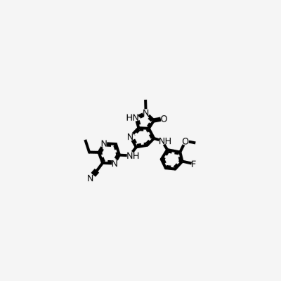 CCc1ncc(Nc2cc(Nc3cccc(F)c3OC)c3c(=O)n(C)[nH]c3n2)nc1C#N